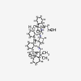 CC1(C)C(/C=C/C2=C(N(c3ccccc3)c3ccccc3)C(=C/C=C3/N(CCO)c4ccccc4C3(C)C)/CC2)=[N+](CCO)c2ccccc21